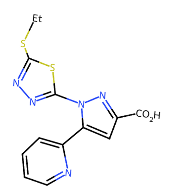 CCSc1nnc(-n2nc(C(=O)O)cc2-c2ccccn2)s1